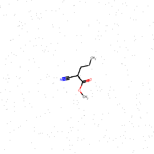 [CH2]CCC(C#N)C(=O)OC